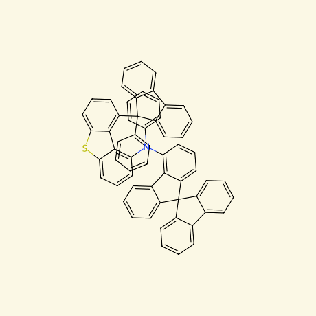 c1ccc(N(c2cccc3c2-c2ccccc2C32c3ccccc3-c3ccccc32)c2cccc3sc4cccc(C5(c6ccccc6)c6ccccc6-c6ccccc65)c4c23)cc1